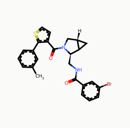 Cc1cccc(-c2sccc2C(=O)N2C[C@@H]3CC3[C@H]2CNC(=O)c2cccc(Br)c2)c1